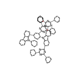 c1ccc(-c2nc(-c3ccccc3)nc(-c3ccc4c5ccc(-c6nc(-c7ccccc7)nc(-c7ccccc7)n6)cc5n(-c5ccc(-c6cccc7c8ccccc8n(-c8ccccc8)c67)cc5-c5nc(-c6ccccc6)nc(-c6ccccc6)n5)c4c3)n2)cc1